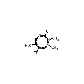 Cc1cnc(Cl)n(C)n(C)cc1Cl